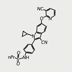 CCCS(=O)(=O)Nc1ccc(-c2c(C#N)c3ccc(Oc4ncccc4C#N)cc3n2C2CC2)cc1